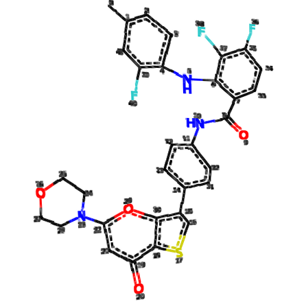 Cc1ccc(Nc2c(C(=O)Nc3ccc(-c4csc5c(=O)cc(N6CCOCC6)oc45)cc3)ccc(F)c2F)c(F)c1